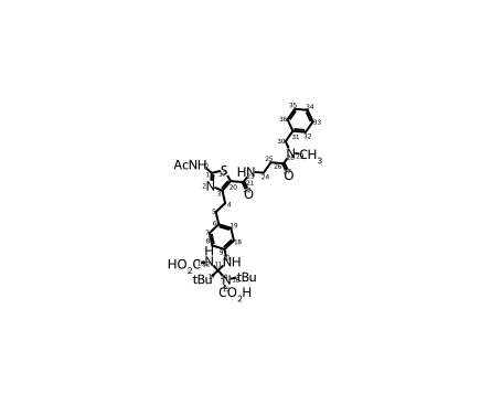 CC(=O)Nc1nc(CCc2ccc(NC(NC(=O)O)(N(C(=O)O)C(C)(C)C)C(C)(C)C)cc2)c(C(=O)NCCC(=O)N(C)Cc2ccccc2)s1